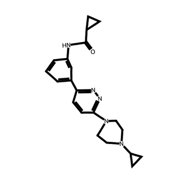 O=C(Nc1cccc(-c2ccc(N3CCN(C4CC4)CC3)nn2)c1)C1CC1